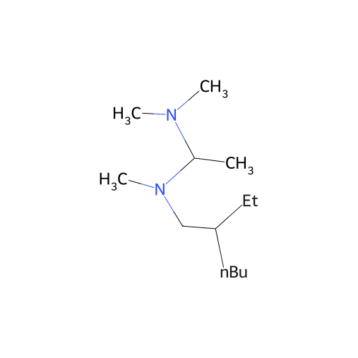 CCCCC(CC)CN(C)C(C)N(C)C